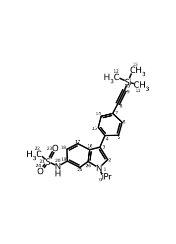 CC(C)n1cc(-c2ccc(C#C[Si](C)(C)C)cc2)c2ccc(NS(C)(=O)=O)cc21